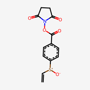 C=C[S+]([O-])c1ccc(C(=O)ON2C(=O)CCC2=O)cc1